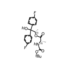 C[C@H](NC(=O)OC(C)(C)C)C(=O)O[C@@H](C)C(O)(c1ccc(F)cc1)c1ccc(F)cc1